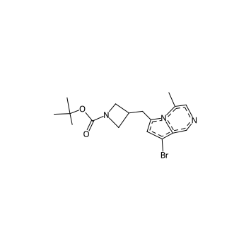 Cc1cncc2c(Br)cc(CC3CN(C(=O)OC(C)(C)C)C3)n12